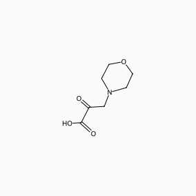 O=C(O)C(=O)CN1CCOCC1